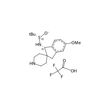 COc1ccc2c(c1)CC1(CCNCC1)[C@@H]2N[S@@+]([O-])C(C)(C)C.O=C(O)C(F)(F)F